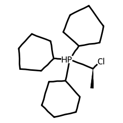 C[C@H](Cl)[PH](C1CCCCC1)(C1CCCCC1)C1CCCCC1